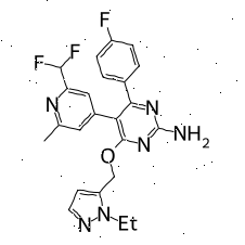 CCn1nccc1COc1nc(N)nc(-c2ccc(F)cc2)c1-c1cc(C)nc(C(F)F)c1